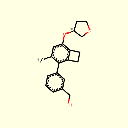 Cc1cc(O[C@H]2CCOC2)c2c(c1-c1cccc(CO)c1)CC2